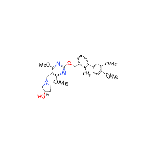 COc1ccc(-c2cccc(COc3nc(OC)c(CN4CC[C@@H](O)C4)c(OC)n3)c2C)cc1OC